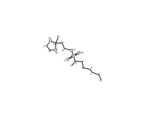 CCCCCCC(C)S(=O)(=O)OCCC1(C)OCCO1